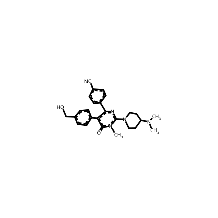 CN(C)C1CCN(c2nc(-c3ccc(C#N)cc3)c(-c3ccc(CO)cc3)c(=O)n2C)CC1